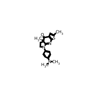 Cc1cc2c(s1)N=C1N(c3ccc(N(C)C)cc3)CCC1(C)C2=O